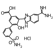 Cl.N=C(N)c1ccc2[nH]c(-c3cc(C(=O)O)cc(-c4cccc(S(N)(=O)=O)c4)c3O)nc2c1